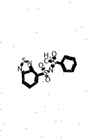 CS(=O)(=NS(=O)(=O)c1cccc2nsnc12)c1ccccc1